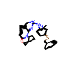 Cc1cc(SCc2ccccc2)ccc1Nc1ncc2ccc(=O)n(C3CCCC34CC4)c2n1